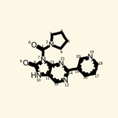 O=C(N1CCCC1)n1c(=O)[nH]c2cnc(-c3cccnc3)nc21